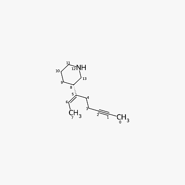 CC#CCC/C(=C\C)[C@@H]1CCCNC1